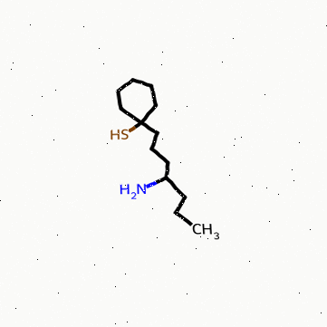 CCCC(N)CCCC1(S)CCCCC1